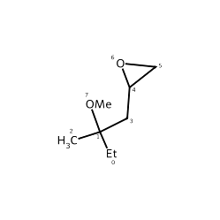 CCC(C)(CC1CO1)OC